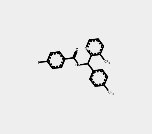 O=C(NC(c1ccc(C(F)(F)F)cc1)c1ncccc1C(F)(F)F)c1ccc(I)cc1